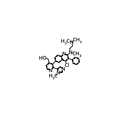 CN(C)CCN(C)c1nc2ccc(-c3c(CO)ccnc3-c3cncn3C)cc2c(Cl)c1-c1ccccc1